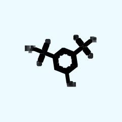 CCS(=O)(=O)c1cc(C(C)(C)C)cc(S(N)(=O)=O)c1